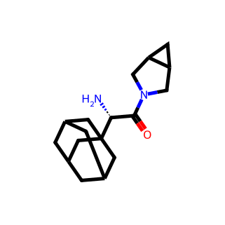 N[C@H](C(=O)N1CC2CC2C1)C12CC3CC(CC(C3)C1)C2